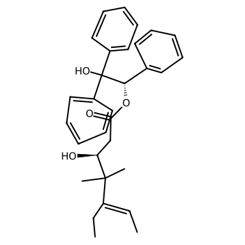 C/C=C(\CC)C(C)(C)[C@@H](O)CC(=O)O[C@@H](c1ccccc1)C(O)(c1ccccc1)c1ccccc1